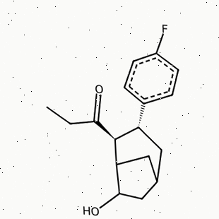 CCC(=O)[C@@H]1C2CC(CC2O)C[C@H]1c1ccc(F)cc1